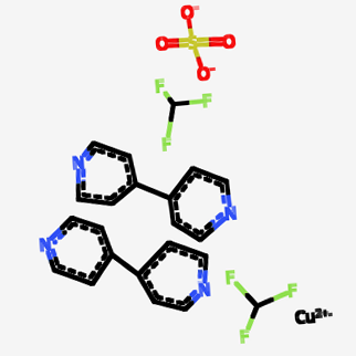 FC(F)F.FC(F)F.O=S(=O)([O-])[O-].[Cu+2].c1cc(-c2ccncc2)ccn1.c1cc(-c2ccncc2)ccn1